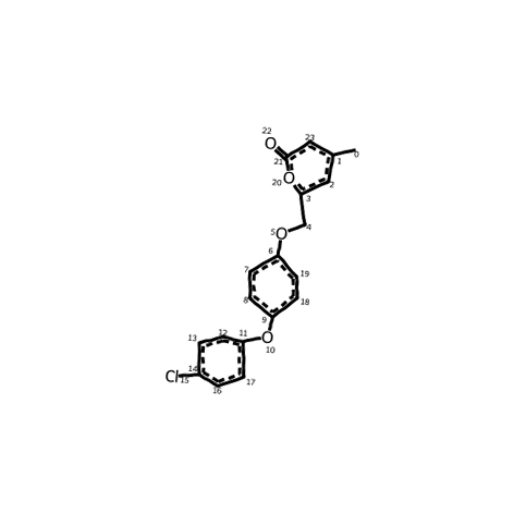 Cc1cc(COc2ccc(Oc3ccc(Cl)cc3)cc2)oc(=O)c1